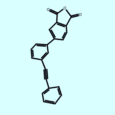 O=C1OC(=O)c2cc(-c3cccc(C#Cc4ccccc4)c3)ccc21